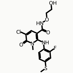 CSc1ccc(Nc2c(C(=O)NOCCO)cc(Cl)c(=O)n2C)c(F)c1